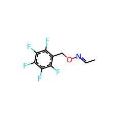 C/C=N/OCc1c(F)c(F)c(F)c(F)c1F